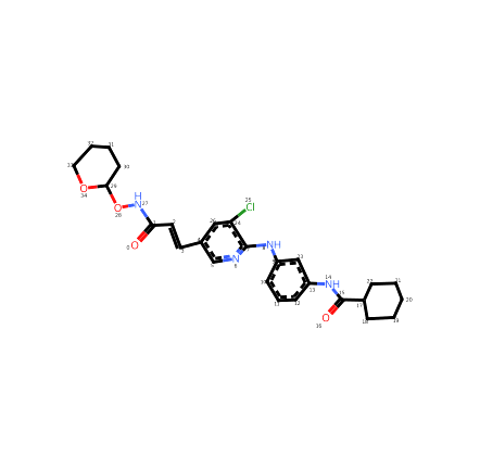 O=C(/C=C/c1cnc(Nc2cccc(NC(=O)C3CCCCC3)c2)c(Cl)c1)NOC1CCCCO1